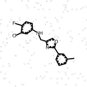 Cc1cccc(-c2nc(CNc3ccc(F)c(Cl)c3)co2)c1